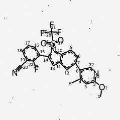 COc1cc(C)c(-c2ccc3c(c2)cc(-c2cccc(C#N)c2F)n3S(=O)(=O)C(F)(F)F)cn1